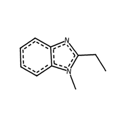 CCc1nc2ccccc2n1C